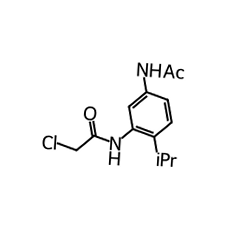 CC(=O)Nc1ccc(C(C)C)c(NC(=O)CCl)c1